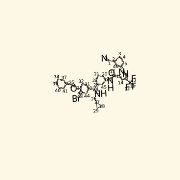 N#Cc1cccc(-n2nc(C(F)(F)F)cc2C(=O)Nc2cccc(C(NCC3CC3)c3ccc(OCc4ccccc4)c(Br)c3)c2)c1